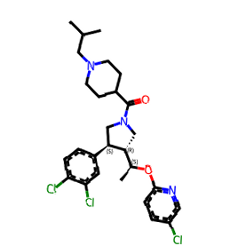 CC(C)CN1CCC(C(=O)N2C[C@H]([C@H](C)Oc3ccc(Cl)cn3)[C@@H](c3ccc(Cl)c(Cl)c3)C2)CC1